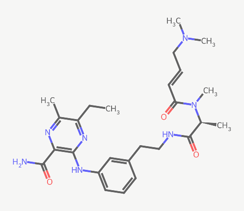 CCc1nc(Nc2cccc(CCNC(=O)[C@H](C)N(C)C(=O)/C=C/CN(C)C)c2)c(C(N)=O)nc1C